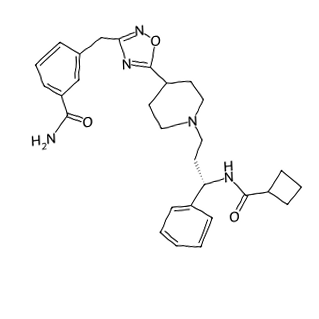 NC(=O)c1cccc(Cc2noc(C3CCN(CC[C@H](NC(=O)C4CCC4)c4ccccc4)CC3)n2)c1